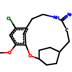 COc1cc(Cl)c2cc1OC1CCC(CCC(=N)NCC2)CC1